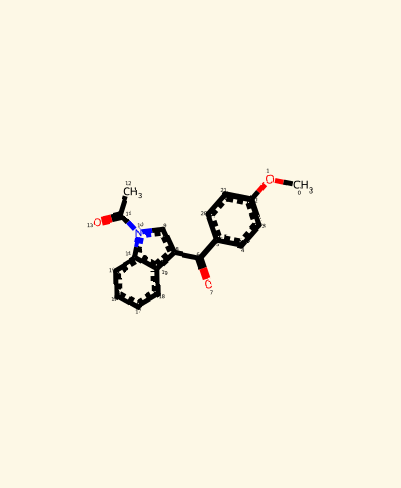 COc1ccc(C(=O)c2cn(C(C)=O)c3ccccc23)cc1